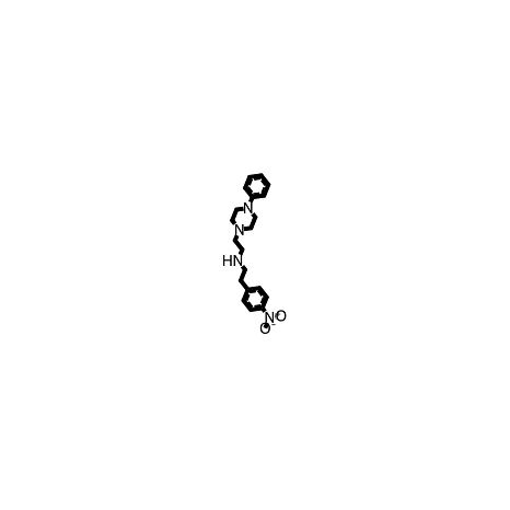 O=[N+]([O-])c1ccc(CCNCCN2CCN(c3ccccc3)CC2)cc1